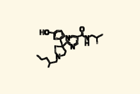 CCCC(C)CN1CCC(c2cccc(O)c2)(c2ncc(C(=O)NCC(C)C)cn2)CC1